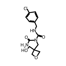 NC(=O)N(CC1(CO)COC1)C(=O)NCc1ccc(Cl)cc1